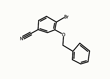 N#Cc1ccc(Br)c(OCc2ccccc2)c1